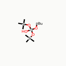 CCCC[O][Ti]([OH])([O][Si](C)(C)C)[O][Si](C)(C)C